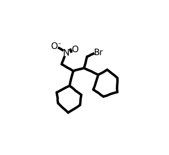 O=[N+]([O-])CC(C1CCCCC1)C(CBr)C1CCCCC1